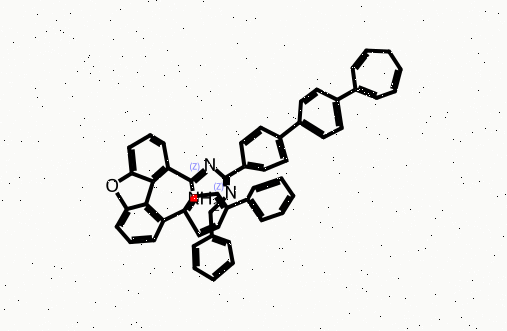 N/C(=N\C(=N/Cc1ccccc1)c1ccc(-c2ccc(C3=CC=CCC=C3)cc2)cc1)c1cccc2oc3cccc(-c4ccc(-c5ccccc5)cc4)c3c12